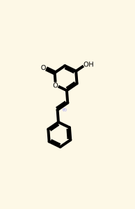 O=c1cc(O)cc(/C=C/c2ccccc2)o1